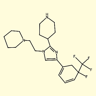 FC(F)(F)C1(F)C=CC=C(c2cn(CCN3CCCCC3)c(C3CCNCC3)n2)C1